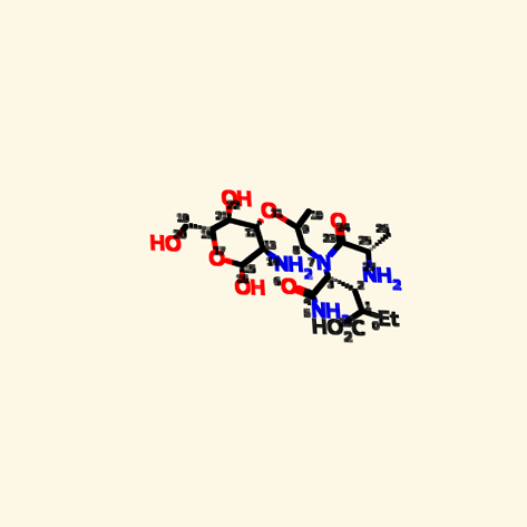 CCC(C[C@H](C(N)=O)N(CC(C)O[C@@H]1[C@@H](N)[C@@H](O)O[C@H](CO)[C@H]1O)C(=O)[C@H](C)N)C(=O)O